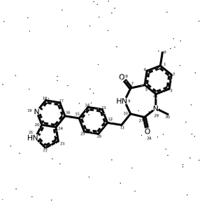 Cc1ccc2c(c1)C(=O)NC(Cc1ccc(-c3ccnc4[nH]ccc34)cc1)C(=O)N2C